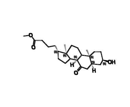 COC(=O)CCC[C@H]1CCC2[C@@H]3C(=O)C[C@@H]4C[C@H](O)CC[C@]4(C)C3CC[C@@]21C